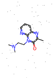 Cc1nc2cccnc2n(CCN(C)C)c1=O